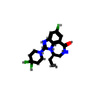 CC[C@@H]1CNC(=O)c2cc(F)cc3nc(N4CCC(F)(F)CC4)n1c23